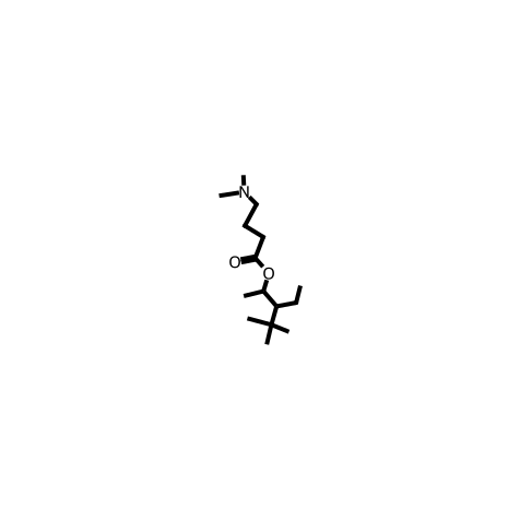 CCC(C(C)OC(=O)CCCN(C)C)C(C)(C)C